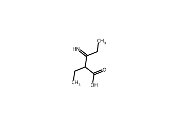 CCC(=N)C(CC)C(=O)O